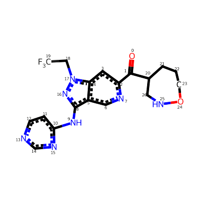 O=C(c1cc2c(cn1)c(Nc1ccncn1)nn2CC(F)(F)F)C1CCCONC1